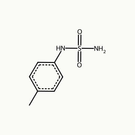 Cc1ccc(NS(N)(=O)=O)cc1